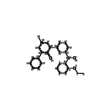 CCOc1ccccc1[S+]([O-])c1cccc(-c2cn(C)cc(-c3ccccc3)c2=O)c1